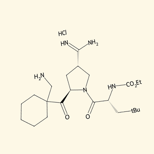 CCOC(=O)N[C@H](CC(C)(C)C)C(=O)N1C[C@@H](C(=N)N)C[C@@H]1C(=O)C1(CN)CCCCC1.Cl